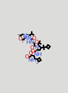 CC(C)[C@@H](CN1C[C@@H](C)O[C@@H](C)C1)NC(=O)NC(OC(C)(C)C)C(=O)N1CC(C(C)(C)C2CCC2)C[C@H]1C(=O)NC(CC1CCC1)C(=O)C(N)=O